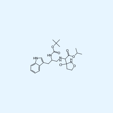 CC(C)OC(=O)C(NCC(Cc1c[nH]c2ccccc12)NC(=O)OC(C)(C)C)C1(Cl)CCON1